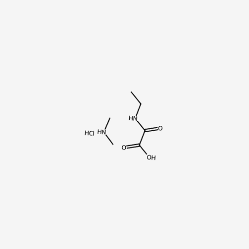 CCNC(=O)C(=O)O.CNC.Cl